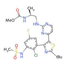 COC(=O)N[C@@H](C)CNc1nccc(-c2sc(C(C)(C)C)nc2-c2cc(F)cc(NS(C)(=O)=O)c2Cl)n1